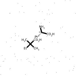 CC(C)[C@H](N)C(=O)O.CCC(C)(C)C(=O)O